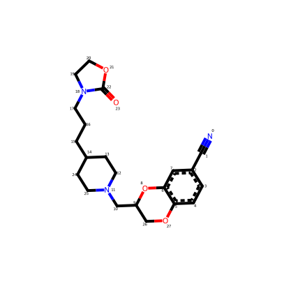 N#Cc1ccc2c(c1)OC(CN1CCC(CCCN3CCOC3=O)CC1)CO2